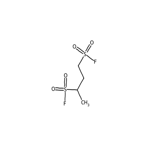 CC(CCS(=O)(=O)F)S(=O)(=O)F